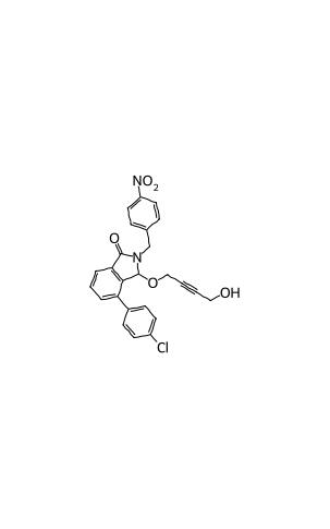 O=C1c2cccc(-c3ccc(Cl)cc3)c2C(OCC#CCO)N1Cc1ccc([N+](=O)[O-])cc1